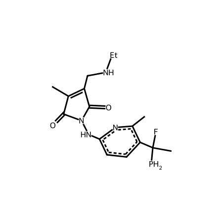 CCNCC1=C(C)C(=O)N(Nc2ccc(C(C)(F)P)c(C)n2)C1=O